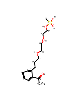 COC(=O)c1ccccc1CCCOCCOCCOS(C)(=O)=O